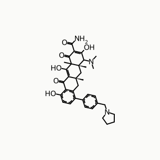 CN(C)C1C(O)=C(C(N)=O)C(=O)C2(C)C(O)=C3C(=O)c4c(O)ccc(-c5ccc(CN6CCCC6)cc5)c4C[C@@]3(C)C[C@@]12C